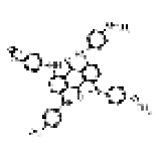 COc1ccc(Nc2ccc(Nc3ccc(OC)cc3)c3c2C(=O)c2c(Nc4ccc(OC)cc4)ccc(Nc4ccc(OC)cc4)c2C3=O)cc1